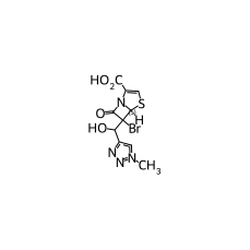 Cn1cc(C(O)C2(Br)C(=O)N3C(C(=O)O)=CS[C@H]32)nn1